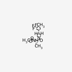 CCC[C@H](CNC(=O)OC)C(=O)N1C[C@@H]2[C@H](C1)[C@H]2c1ccc(C)c(C(F)(F)F)c1